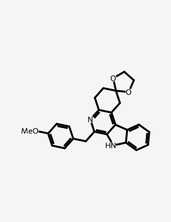 COc1ccc(Cc2nc3c(c4c2[nH]c2ccccc24)CC2(CC3)OCCO2)cc1